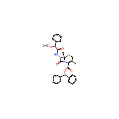 CC1=C(C(=O)OC(c2ccccc2)c2ccccc2)N2C(=O)[C@H](NC(=O)C(OC=O)c3ccccc3)[C@@H]2SC1